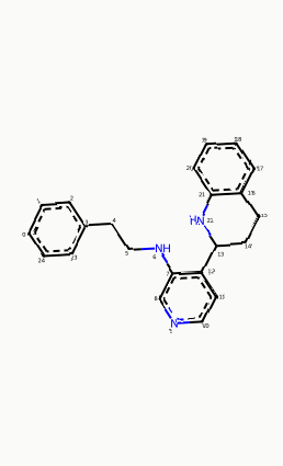 c1ccc(CCNc2cnccc2C2CCc3ccccc3N2)cc1